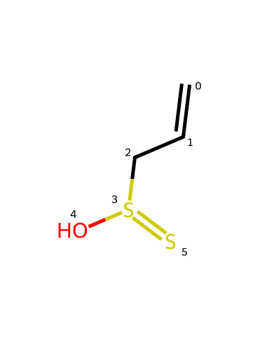 C=CCS(O)=S